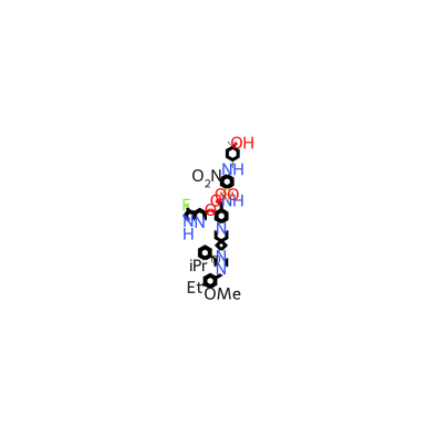 CCc1ccc(CN2CCN(C3CC4(CCN(c5ccc(C(=O)NS(=O)(=O)c6ccc(NC[C@H]7CC[C@](C)(O)CC7)c([N+](=O)[O-])c6)c(Oc6cnc7[nH]cc(F)c7c6)c5)CC4)C3)[C@H](c3ccccc3C(C)C)C2)cc1OC